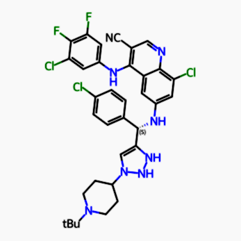 CC(C)(C)N1CCC(N2C=C([C@@H](Nc3cc(Cl)c4ncc(C#N)c(Nc5cc(F)c(F)c(Cl)c5)c4c3)c3ccc(Cl)cc3)NN2)CC1